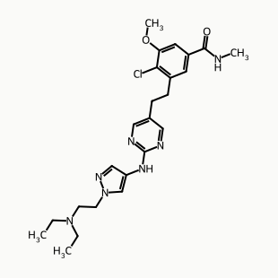 CCN(CC)CCn1cc(Nc2ncc(CCc3cc(C(=O)NC)cc(OC)c3Cl)cn2)cn1